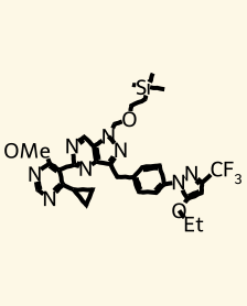 CCOc1cc(C(F)(F)F)nn1-c1ccc(Cc2nn(COCC[Si](C)(C)C)c3cnc(-c4c(OC)ncnc4C4CC4)nc23)cc1